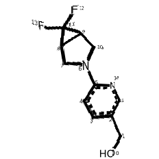 OCc1ccc(N2CC3C(C2)C3(F)F)nc1